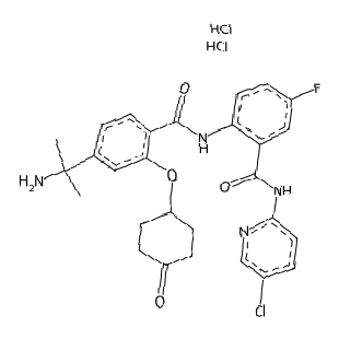 CC(C)(N)c1ccc(C(=O)Nc2ccc(F)cc2C(=O)Nc2ccc(Cl)cn2)c(OC2CCC(=O)CC2)c1.Cl.Cl